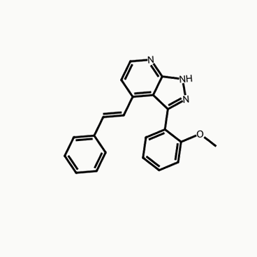 COc1ccccc1-c1n[nH]c2nccc(/C=C/c3ccccc3)c12